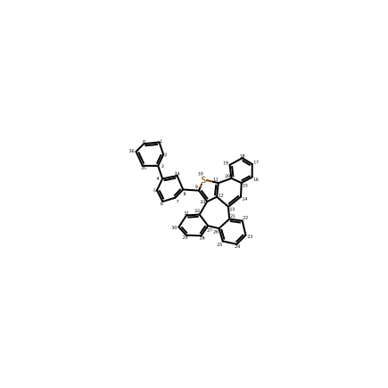 c1ccc(-c2cccc(-c3sc4c5c(cc6ccccc64)-c4ccccc4-c4ccccc4-c35)c2)cc1